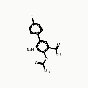 CC(=O)Oc1ccc(-c2ccc(F)cc2)cc1C(=O)O.[NaH]